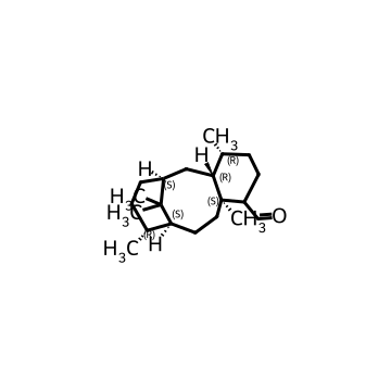 C[C@@H]1CCC(C=O)[C@@]2(C)CC[C@H]3[C@H](C)CC[C@@H](C[C@H]12)C3(C)C